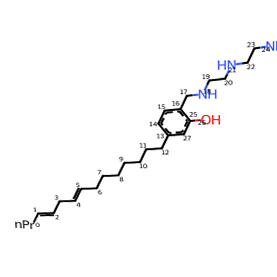 CCC/C=C/C/C=C/CCCCCCCc1ccc(CNCCNCCN)c(O)c1